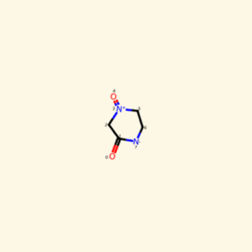 O=C1C[N+](=O)CC[N]1